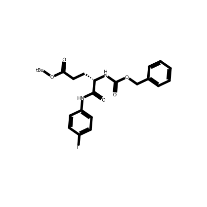 CC(C)(C)OC(=O)CC[C@H](NC(=O)OCc1ccccc1)C(=O)Nc1ccc(F)cc1